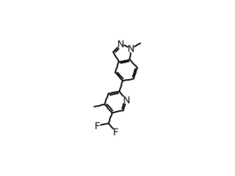 Cc1cc(-c2ccc3c(cnn3C)c2)ncc1C(F)F